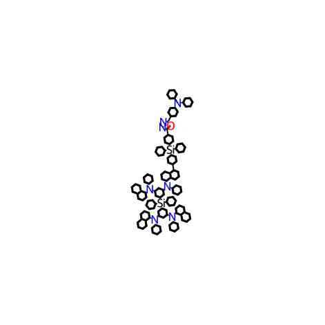 c1ccc(N(c2ccccc2)c2ccc(-c3nnc(-c4ccc([Si](c5ccccc5)(c5ccccc5)c5ccc(-c6cccc7c(N(c8ccccc8)c8cc(N(c9ccccc9)c9cccc%10ccccc9%10)cc([Si](c9ccccc9)(c9ccccc9)c9cc(N(c%10ccccc%10)c%10cccc%11ccccc%10%11)cc(N(c%10ccccc%10)c%10cccc%11ccccc%10%11)c9)c8)cccc67)cc5)cc4)o3)cc2)cc1